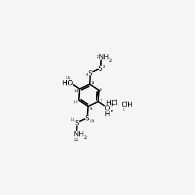 Cl.Cl.NSSc1cc(O)c(SSN)cc1O